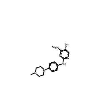 [C-]#[N+]c1cnc(Nc2ccc(N3CCN(C)CC3)cc2)nc1NC